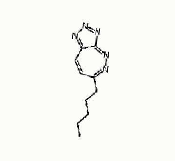 CCCCCc1ccc2nnnc-2nn1